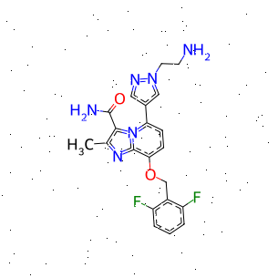 Cc1nc2c(OCc3c(F)cccc3F)ccc(-c3cnn(CCN)c3)n2c1C(N)=O